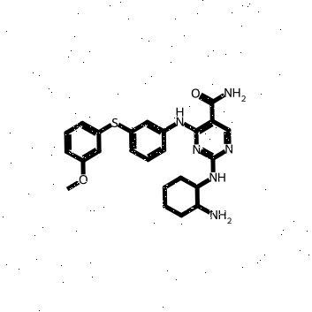 COc1cccc(Sc2cccc(Nc3nc(NC4CCCCC4N)ncc3C(N)=O)c2)c1